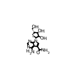 NC(=O)c1cn([C@@H]2S[C@H](CO)C(O)C2O)c2ncnc(N)c12